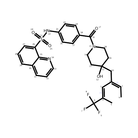 C/C=C(\C=C(/C)C(F)(F)F)CC1(O)CCN(C(=O)c2ccc(NS(=O)(=O)c3cccc4cccnc34)cc2)CC1